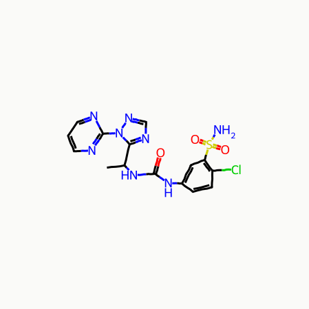 CC(NC(=O)Nc1ccc(Cl)c(S(N)(=O)=O)c1)c1ncnn1-c1ncccn1